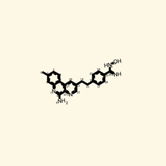 Cc1ccc2c(c1)nc(N)c1ncc(CCc3ccc(C(=N)NO)cc3)cc12